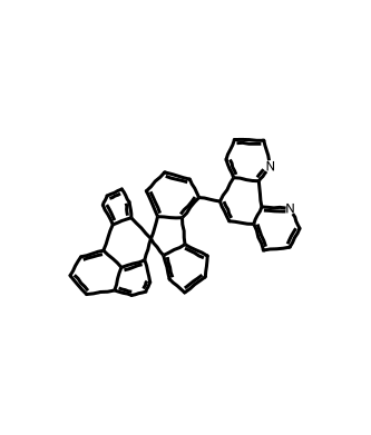 c1ccc2c(c1)-c1c(-c3cc4cccnc4c4ncccc34)cccc1C21c2ccccc2-c2cccc3cccc1c23